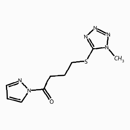 Cn1nnnc1SCCCC(=O)n1cccn1